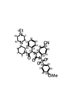 CCN1CCN([C@H]2CCCN(C(=O)C(c3ccccc3)n3c(=O)n(S(=O)(=O)c4ccc(OC)cc4)c4ccc(C#N)cc43)C2)CC1